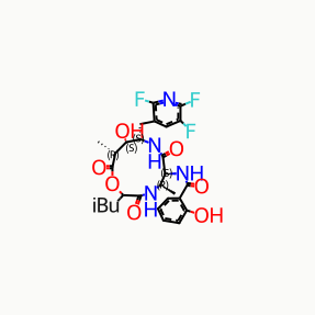 CCC(C)C1OC(=O)[C@H](C)[C@H](O)[C@H](Cc2cc(F)c(F)nc2F)NC(=O)[C@@H](NC(=O)c2ccccc2O)[C@@H](C)NC1=O